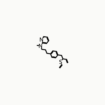 C=CSC(C=C)Cc1ccc(CCCN(C)c2ccccn2)cc1